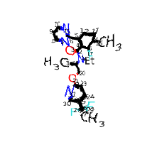 CCN(C(=O)C1=C(c2ncccn2)C=CC(C)C1F)C(C)COc1ccc(C(C)(F)F)cn1